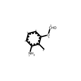 Cc1c(N)cccc1OC=O